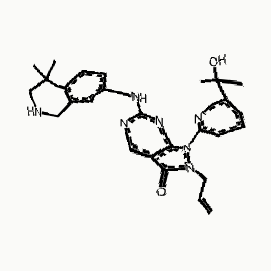 C=CCn1c(=O)c2cnc(Nc3ccc4c(c3)CNCC4(C)C)nc2n1-c1cccc(C(C)(C)O)n1